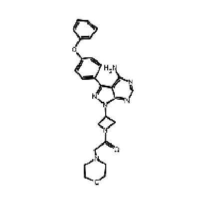 Nc1ncnc2c1c(-c1ccc(Oc3ccccc3)cc1)nn2C1CN(C(=O)CN2CCOCC2)C1